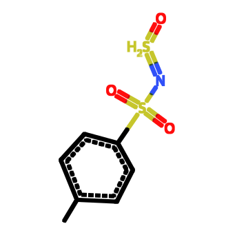 Cc1ccc(S(=O)(=O)N=[SH2]=O)cc1